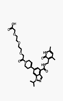 Cc1cc(C)c(CNC(=O)c2cc(C3=CCN(C(=O)COCCOCCOCC(=O)O)CC3)cc3c2cnn3C(C)C)c(=O)[nH]1